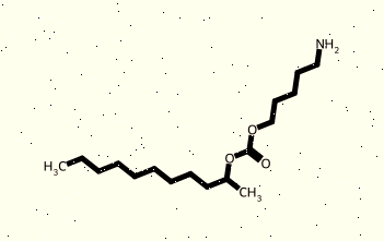 CCCCCCCCCC(C)OC(=O)OCCCCCN